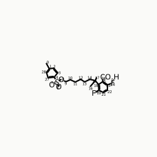 Cc1ccc(S(=O)(=O)OCCCCCCC(C)(C)c2c(F)ccc(F)c2C(=O)O)cc1